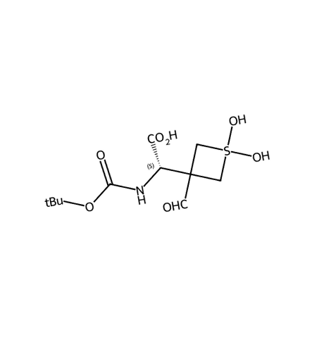 CC(C)(C)OC(=O)N[C@H](C(=O)O)C1(C=O)CS(O)(O)C1